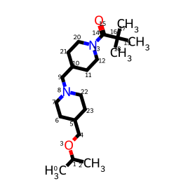 CC(C)OCC1CCN(CC2CCN(C(=O)C(C)(C)C)CC2)CC1